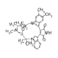 [2H]N1C(=O)C2=C(C1=O)c1cn(c3ccccc13)C(C)(C)C[C@@H](CN(C)C(C)C)OC(C)Cn1cc2c2cc(C)c(C)cc21